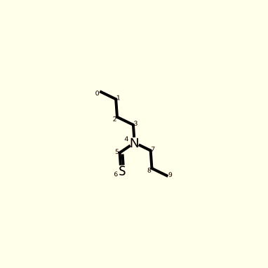 CCCCN(C=S)CCC